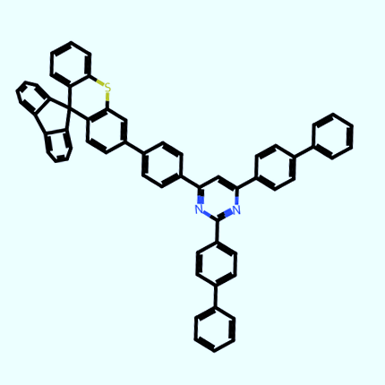 c1ccc(-c2ccc(-c3cc(-c4ccc(-c5ccc6c(c5)Sc5ccccc5C65c6ccccc6-c6ccccc65)cc4)nc(-c4ccc(-c5ccccc5)cc4)n3)cc2)cc1